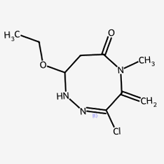 C=C1/C(Cl)=N\NC(OCC)CC(=O)N1C